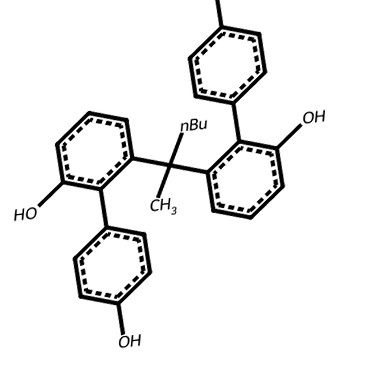 CCCCC(C)(c1cccc(O)c1-c1ccc(O)cc1)c1cccc(O)c1-c1ccc(O)cc1